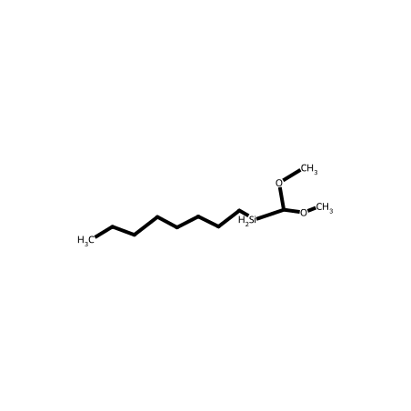 CCCCCCCC[SiH2]C(OC)OC